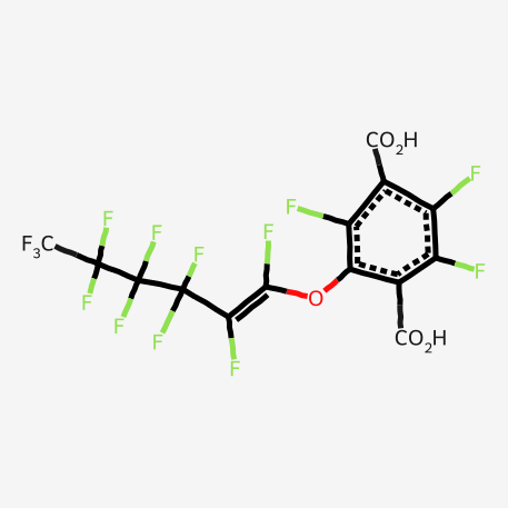 O=C(O)c1c(F)c(F)c(C(=O)O)c(OC(F)=C(F)C(F)(F)C(F)(F)C(F)(F)C(F)(F)F)c1F